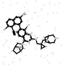 C#Cc1c(F)ccc2cc(O)cc(-c3c(F)cc4c(N5CC6CCC(C5)N6)nc(OCC5(CN6C7CCC6COC7)CC5)nc4c3F)c12